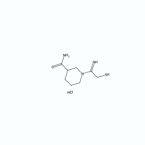 Cl.N=C(CS)N1CCCC(C(N)=O)C1